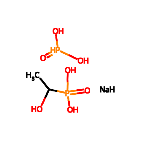 CC(O)P(=O)(O)O.O=[PH](O)O.[NaH]